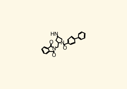 N=C1CC(CN2C(=O)c3ccccc3C2=O)N(C(=O)c2ccc(-c3ccccc3)cc2)C1